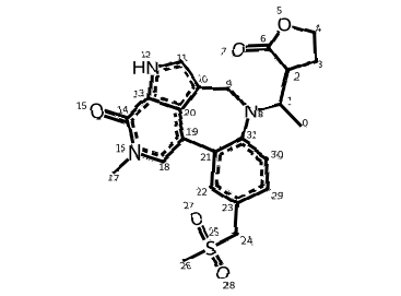 CC(C1CCOC1=O)N1Cc2c[nH]c3c(=O)n(C)cc(c23)-c2cc(CS(C)(=O)=O)ccc21